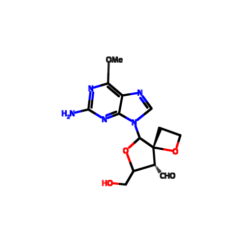 COc1nc(N)nc2c1ncn2C1OC(CO)[C@@H](C=O)[C@]12CCO2